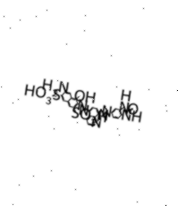 Nc1cc2c(O)c(N=Nc3ccc(N=Nc4ccc5[nH]c(=O)[nH]c5c4)c4ncccc34)c(S(=O)(=O)O)cc2cc1S(=O)(=O)O